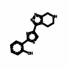 Oc1ccccc1-c1nc(-c2nnc3n2CCNC3)cs1